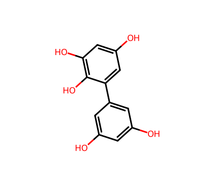 Oc1cc(O)cc(-c2cc(O)cc(O)c2O)c1